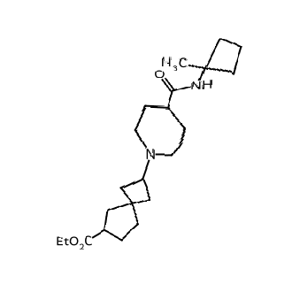 CCOC(=O)C1CCC2(C1)CC(N1CCC(C(=O)NC3(C)CCC3)CC1)C2